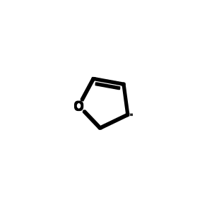 [CH]1C=COC1